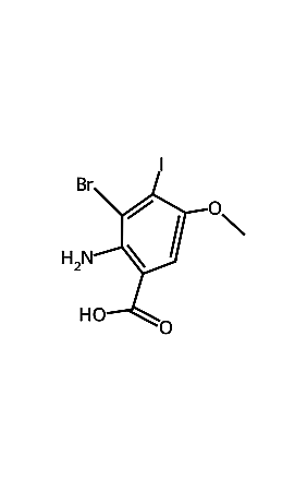 COc1cc(C(=O)O)c(N)c(Br)c1I